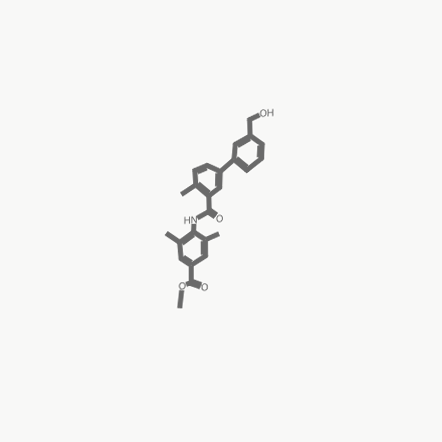 COC(=O)c1cc(C)c(NC(=O)c2cc(-c3cccc(CO)c3)ccc2C)c(C)c1